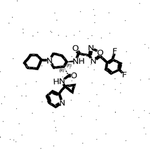 O=C(N[C@@H]1CCN(C2CCCCC2)C[C@H]1C(=O)NC1(c2ccccn2)CC1)c1noc(-c2ccc(F)cc2F)n1